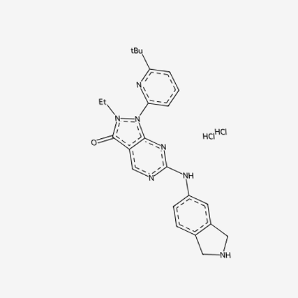 CCn1c(=O)c2cnc(Nc3ccc4c(c3)CNC4)nc2n1-c1cccc(C(C)(C)C)n1.Cl.Cl